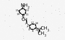 CN(C)c1ccc(C=COc2ccc(N)cc2)cc1